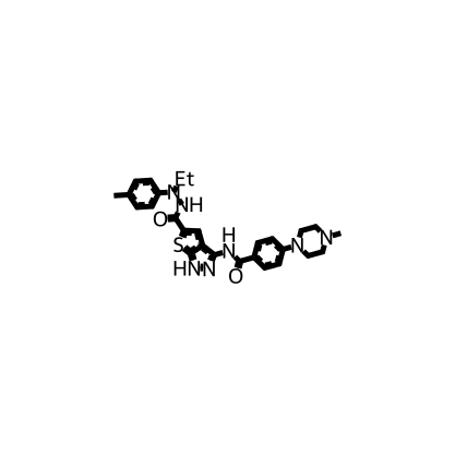 CCN(NC(=O)c1cc2c(NC(=O)c3ccc(N4CCN(C)CC4)cc3)n[nH]c2s1)c1ccc(C)cc1